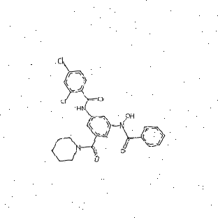 O=C(Nc1cc(C(=O)N2CCCCC2)cc(N(O)C(=O)c2ccccc2)c1)c1ccc(Cl)cc1Cl